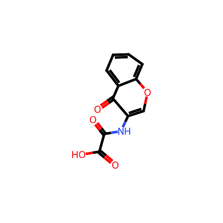 O=C(O)C(=O)Nc1coc2ccccc2c1=O